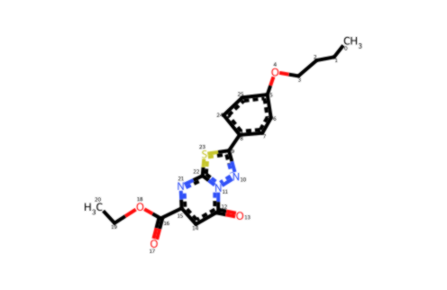 CCCCOc1ccc(-c2nn3c(=O)cc(C(=O)OCC)nc3s2)cc1